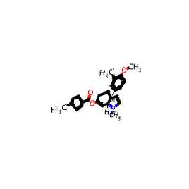 COc1ccc([C@@]23CCC(OC(=O)c4ccc(C)cc4)=C[C@@H]2N(C)CC3)cc1C